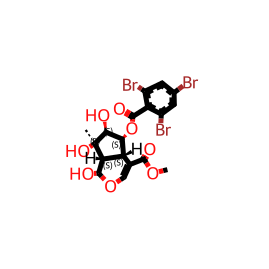 COC(=O)C1=COC(O)[C@H]2[C@@H]1[C@H](OC(=O)c1c(Br)cc(Br)cc1Br)[C@H](O)[C@]2(C)O